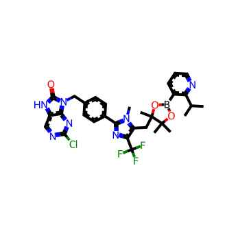 CC(C)c1ncccc1B1OC(C)(C)C(C)(Cc2c(C(F)(F)F)nc(-c3ccc(Cn4c(=O)[nH]c5cnc(Cl)nc54)cc3)n2C)O1